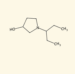 CCC(CC)N1CCC(O)C1